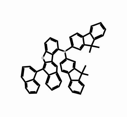 CC1(C)c2ccccc2-c2ccc(N(c3ccc4c(c3)C(C)(C)c3ccccc3-4)c3cccc4oc5c(-c6cccc7ccccc67)c6ccccc6cc5c34)cc21